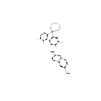 COc1ccc(C2(c3ccc(OC(=O)c4ccc5cc(C(C)=O)ccc5c4)c(C)c3)CCCCC2)cc1C